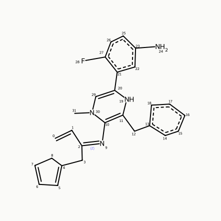 C=C/C(CC1=CC=CC1)=N\C1=C(Cc2ccccc2)NC(c2cc(N)ccc2F)=CN1C